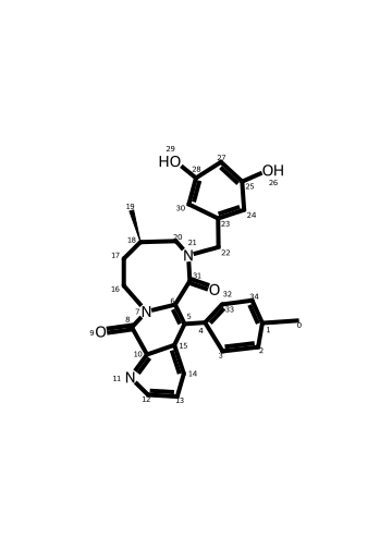 Cc1ccc(-c2c3n(c(=O)c4ncccc24)CC[C@@H](C)CN(Cc2cc(O)cc(O)c2)C3=O)cc1